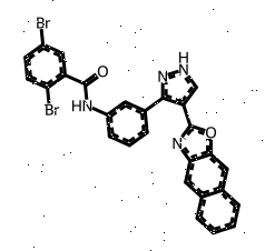 O=C(Nc1cccc(-c2n[nH]cc2-c2nc3cc4ccccc4cc3o2)c1)c1cc(Br)ccc1Br